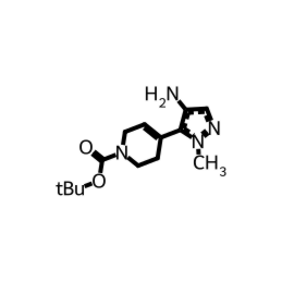 Cn1ncc(N)c1C1=CCN(C(=O)OC(C)(C)C)CC1